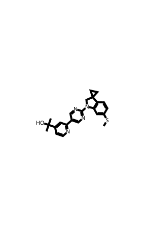 CSc1ccc2c(c1)N(c1ncc(-c3cc(C(C)(C)O)ccn3)cn1)CC21CC1